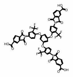 O=C(O)c1ccc2c(c1)C(=O)N(c1ccc(Oc3cc(Oc4ccc(N5C(=O)c6ccc(C(=O)O)cc6C5=O)cc4C(F)(F)F)cc(Oc4ccc(N5C(=O)c6ccc(C(=O)O)cc6C5=O)cc4C(F)(F)F)c3)c(C(F)(F)F)c1)C2=O